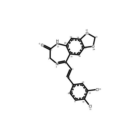 O=C1CN=C(C=Cc2ccc(Cl)c(Cl)c2)c2cc3c(cc2N1)OCO3